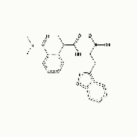 CC(C(=O)NC(Cc1coc2ccccc12)B(O)O)c1ccccc1C(=O)N(C)C